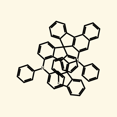 c1ccc(N(c2ccccc2)c2cccc3c2-c2ccccc2C32c3ccccc3-c3c2c(N(c2ccccc2)c2cccc4sc5ccccc5c24)cc2ccccc32)cc1